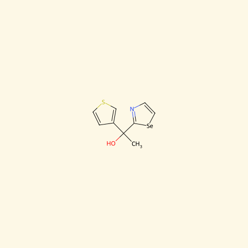 CC(O)(c1ccsc1)c1ncc[se]1